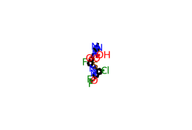 Cc1ncc(N(CC2Cc3c(c(F)cc4nc(-c5cc(Cl)cc6cc(OC(F)F)cnc56)sc34)O2)C(=O)O)cn1